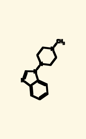 CN1CCN(n2cnc3ccccc32)CC1